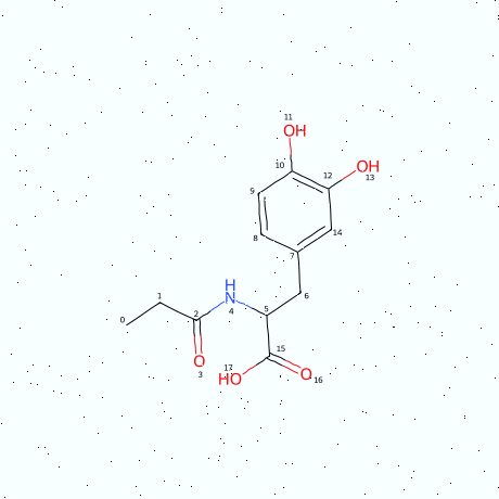 CCC(=O)NC(Cc1ccc(O)c(O)c1)C(=O)O